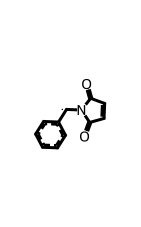 O=C1C=CC(=O)N1[CH]c1ccccc1